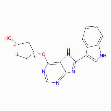 O[C@H]1[CH]C[C@@H](Oc2ncnc3nc(-c4c[nH]c5ccccc45)[nH]c23)C1